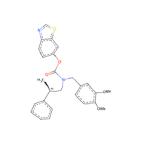 COc1ccc(CN(C[C@H](C)c2ccccc2)C(=O)Oc2ccc3ncsc3c2)cc1OC